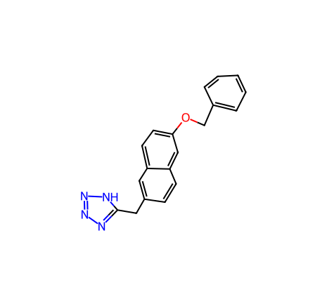 c1ccc(COc2ccc3cc(Cc4nnn[nH]4)ccc3c2)cc1